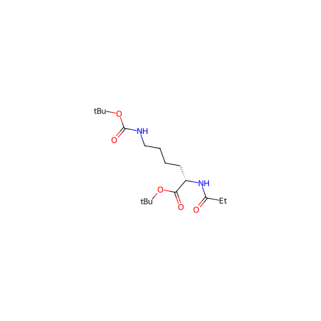 CCC(=O)N[C@@H](CCCCNC(=O)OC(C)(C)C)C(=O)OC(C)(C)C